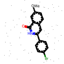 COc1ccc2cc(-c3ccc(Br)cc3)[nH]c(=O)c2c1